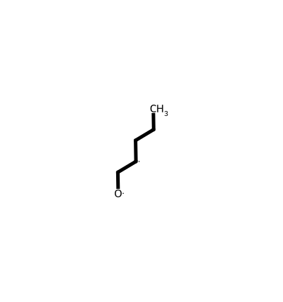 CCC[CH]C[O]